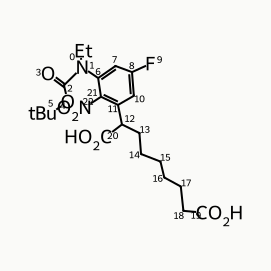 CCN(C(=O)OC(C)(C)C)c1cc(F)cc(C(CCCCCCC(=O)O)C(=O)O)c1[N+](=O)[O-]